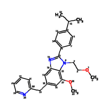 COCCn1c(-c2ccc(C(C)C)cc2)nc2cc(Cc3ccccn3)cc(OC)c21